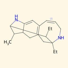 CCC1C2NC3=CC4=C(CC3C2C)CC1(CC)NC/C=C\4